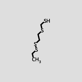 CCSSCCSCS